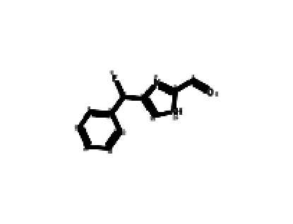 O=Cc1nc(C(F)c2ccccc2)c[nH]1